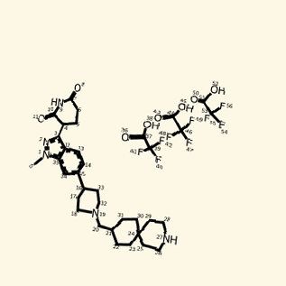 Cn1nc(C2CCC(=O)NC2=O)c2ccc(C3CCN(CC4CCC5(CCNCC5)CC4)CC3)cc21.O=C(O)C(F)(F)F.O=C(O)C(F)(F)F.O=C(O)C(F)(F)F